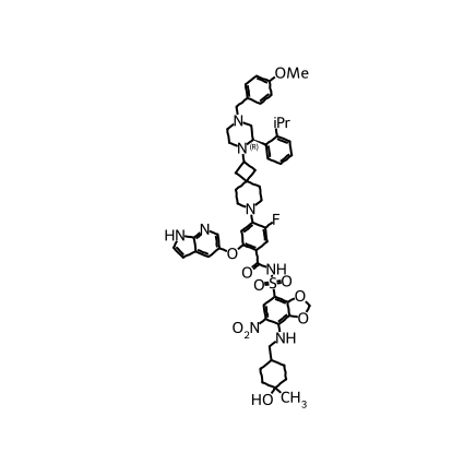 COc1ccc(CN2CCN(C3CC4(CCN(c5cc(Oc6cnc7[nH]ccc7c6)c(C(=O)NS(=O)(=O)c6cc([N+](=O)[O-])c(NCC7CCC(C)(O)CC7)c7c6OCO7)cc5F)CC4)C3)[C@H](c3ccccc3C(C)C)C2)cc1